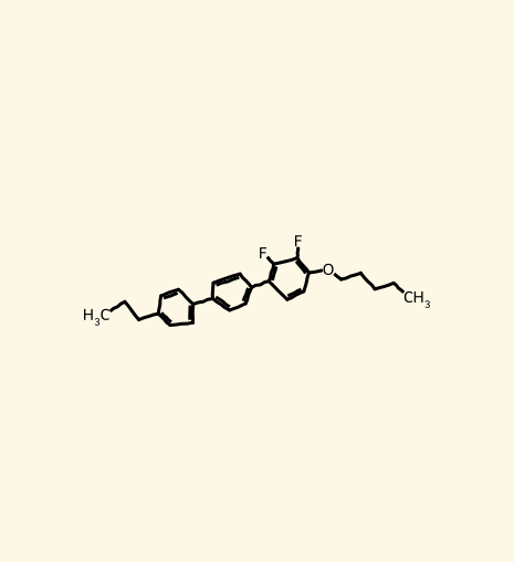 CCCCCOc1ccc(-c2ccc(-c3ccc(CCC)cc3)cc2)c(F)c1F